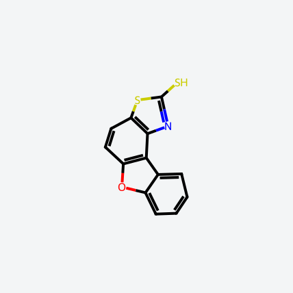 Sc1nc2c(ccc3oc4ccccc4c32)s1